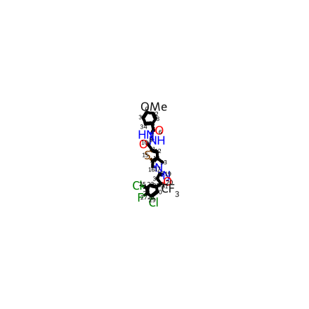 COc1ccc(C(=O)NNC(=O)c2cc3c(s2)CN(C2=NOC(c4cc(Cl)c(F)c(Cl)c4)(C(F)(F)F)C2)C3)cc1